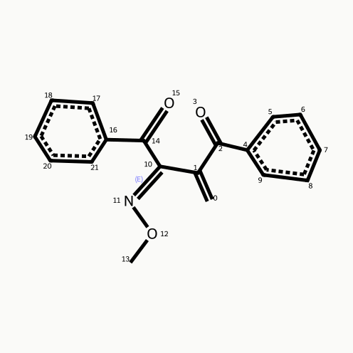 C=C(C(=O)c1ccccc1)/C(=N\OC)C(=O)c1ccccc1